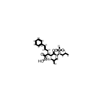 CCCN(NC(=O)[C@H](CC(C)C)[C@H](CC=Cc1ccccc1)C(=O)NO)S(C)(=O)=O